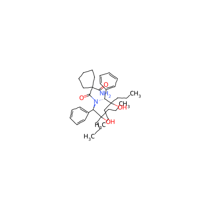 CCCC(O)(CCC)[C@@H](c1ccccc1)N(C(=O)C1(C(N)=O)CCCCC1)[C@H](c1ccccc1)C(O)(CCC)CCC